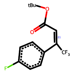 CC(C)(C)OC(=O)/C=C(\c1ccc(F)cc1)C(F)(F)F